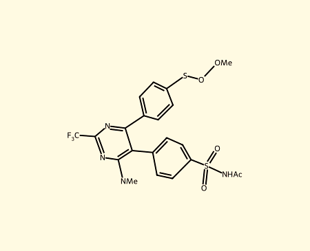 CNc1nc(C(F)(F)F)nc(-c2ccc(SOOC)cc2)c1-c1ccc(S(=O)(=O)NC(C)=O)cc1